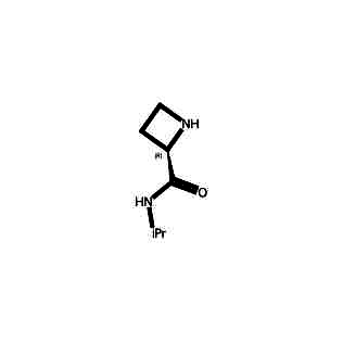 CC(C)NC(=O)[C@H]1CCN1